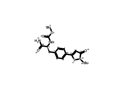 CC(C)(C)OC(=O)N[C@@H](Cc1ccc(-c2cc(=O)n(C(C)(C)C)s2)cc1)C(N)=O